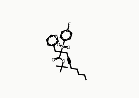 CCCCCC#CCC(Cc1cccnc1)(C(=O)OC(C)(C)C)S(=O)(=O)c1ccc(F)cc1